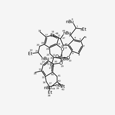 CCCCC(CC)Cc1c(C)ccc(OP(=O)(Oc2ccc(C)c(CC(CC)CCCC)c2CC(CC)CCCC)Oc2ccc(C)c(CC(CC)CCCC)c2CC(CC)CCCC)c1CC(CC)CCCC